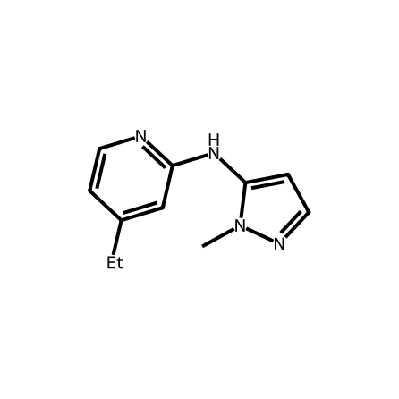 CCc1ccnc(Nc2ccnn2C)c1